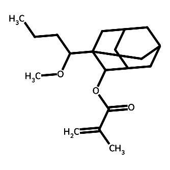 C=C(C)C(=O)OC1C2CC3CC(C2)CC1(C(CCC)OC)C3